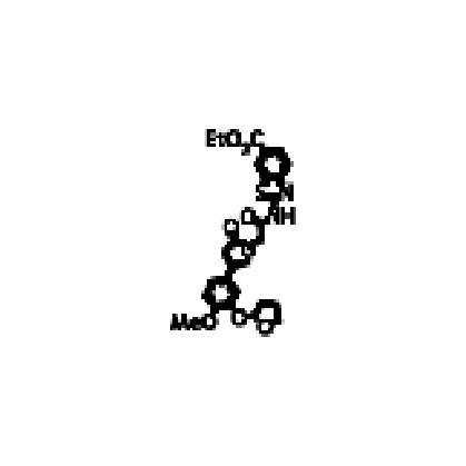 CCOC(=O)c1ccc2nc(NC(=O)CN3CC(c4ccc(OC)c(OC5CCCO5)c4)CC3=O)sc2c1